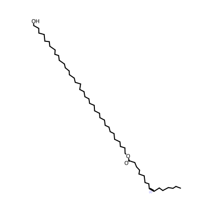 CCCCCC/C=C\CCCCCCCC(=O)OCCCCCCCCCCCCCCCCCCCCCCCCCCCCCCCCCCCCCO